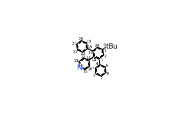 CC(C)(C)c1cc(-c2ccccc2)c(-c2ccncc2)c(-c2ccccc2)c1